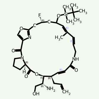 C=CC[C@@H]1/C=C/C(=O)NC/C=C/C(C)=C/C(O[Si](C)(C)C(C)(C)C)C[C@@H](F)Cc2nc(co2)C(=O)N2CCC[C@@H]2C(=O)O[C@@H]1[C@H](N)CO